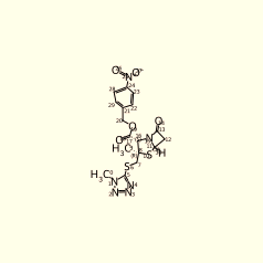 Cn1nnnc1SC[C@]1(C)S[C@H]2CC(=O)N2[C@H]1C(=O)OCc1ccc([N+](=O)[O-])cc1